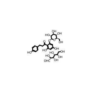 O=C(CCc1ccc(O)cc1)c1c(O)cc(O)cc1O[C@@H]1O[C@H](CO)[C@@H](O)[C@H](O)[C@H]1O.O=C[C@H](O)[C@@H](O)[C@H](O)[C@H](O)CO